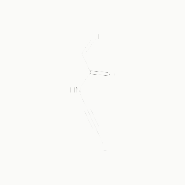 C=CC(=O)NC#CCC